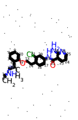 C=CN/C=C(\C)c1ccccc1OCCc1ccc(NC(=O)c2cccnc2N)cc1Cl